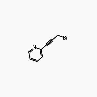 BrCC#Cc1ccccn1